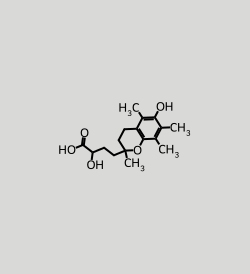 Cc1c(C)c2c(c(C)c1O)CCC(C)(CCC(O)C(=O)O)O2